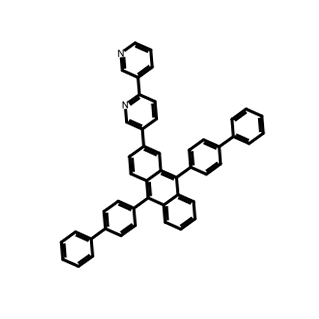 c1ccc(-c2ccc(-c3c4ccccc4c(-c4ccc(-c5ccccc5)cc4)c4cc(-c5ccc(-c6cccnc6)nc5)ccc34)cc2)cc1